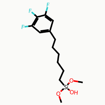 CO[Si](O)(CCCCCCc1cc(F)c(F)c(F)c1)OC